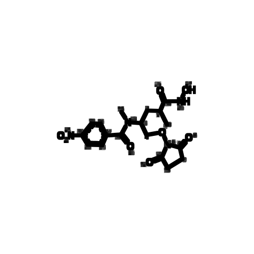 CC(CC(CON1C(=O)CCC1=O)N(C)C(=O)c1ccc([N+](=O)[O-])cc1)C(=O)NO